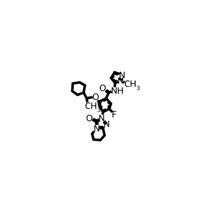 CC(Oc1cc(-n2nc3n(c2=O)CCCC3)c(F)cc1C(=O)Nc1ccnn1C)C1CCCCC1